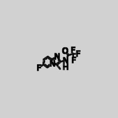 Cc1c(NC(=O)C(F)(F)F)nc2ccc(F)cn12